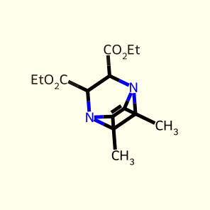 CCOC(=O)C1C(C(=O)OCC)N2CCN1C(C)=C2C